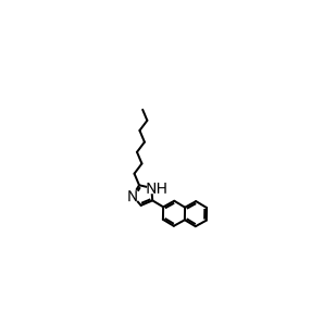 CCCCCCCc1ncc(-c2ccc3ccccc3c2)[nH]1